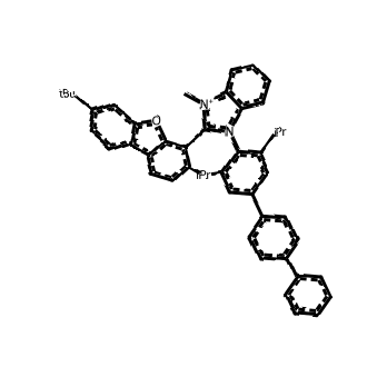 Cc1ccc2c(oc3cc(C(C)(C)C)ccc32)c1-c1n(-c2c(C(C)C)cc(-c3ccc(-c4ccccc4)cc3)cc2C(C)C)c2ccccc2[n+]1C